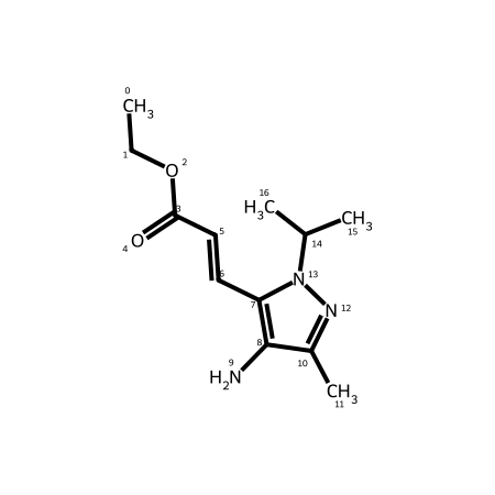 CCOC(=O)C=Cc1c(N)c(C)nn1C(C)C